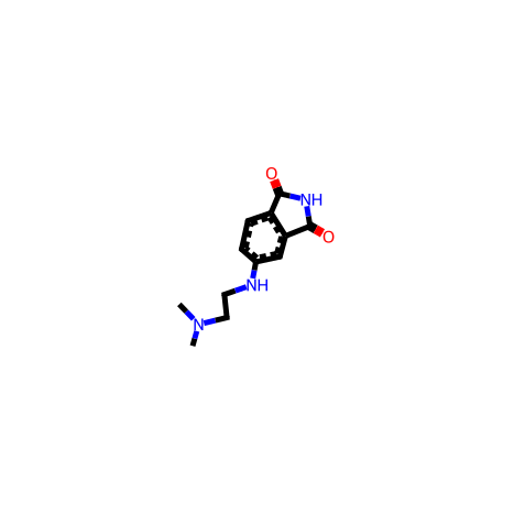 CN(C)CCNc1ccc2c(c1)C(=O)NC2=O